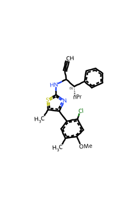 C#CC(Nc1nc(-c2cc(C)c(OC)cc2Cl)c(C)s1)[C@@H](CCC)c1ccccc1